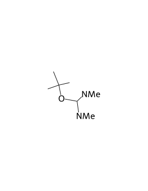 CNC(NC)OC(C)(C)C